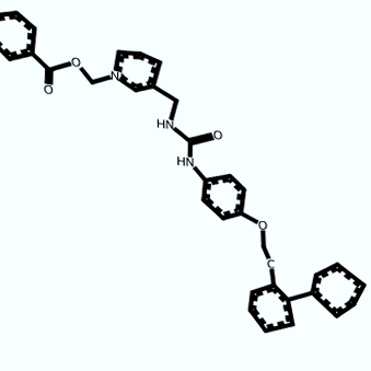 O=C(NCc1ccc[n+](COC(=O)c2cccnc2)c1)Nc1ccc(OCCc2ccccc2-c2ccccc2)cc1